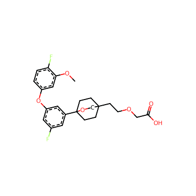 COc1cc(Oc2cc(F)cc(C34CCC(CCOCC(=O)O)(CC3)CO4)c2)ccc1F